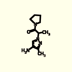 Cc1nn(C(C)C(=O)N2CCCC2)cc1N